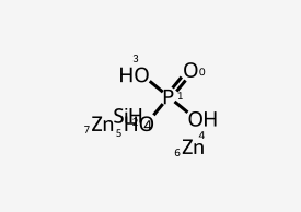 O=P(O)(O)O.[SiH4].[Zn].[Zn]